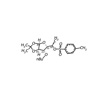 CCCCO[C@@H]1[C@H]2OC(C)(C)O[C@H]2O[C@@H]1[C@@H](C)OS(=O)(=O)c1ccc(C)cc1